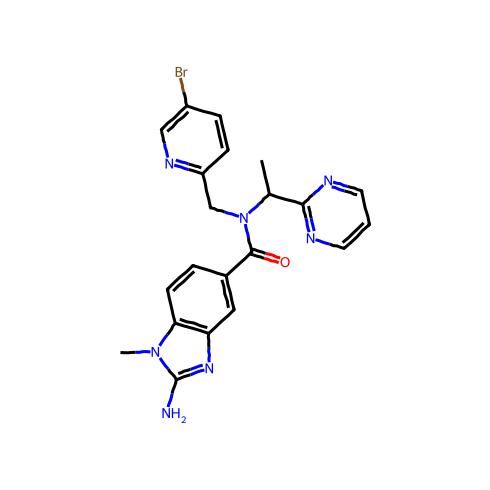 CC(c1ncccn1)N(Cc1ccc(Br)cn1)C(=O)c1ccc2c(c1)nc(N)n2C